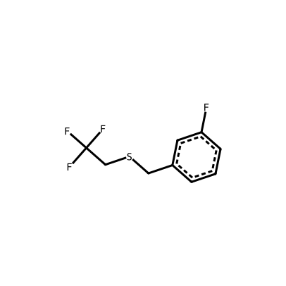 Fc1cccc(CSCC(F)(F)F)c1